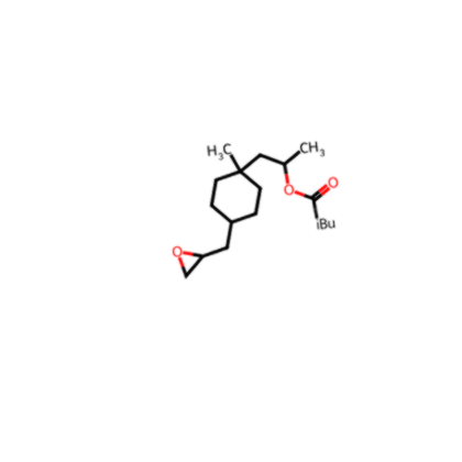 CCC(C)C(=O)OC(C)CC1(C)CCC(CC2CO2)CC1